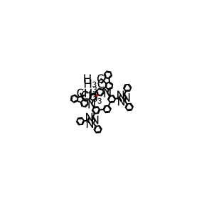 CC1(C)c2ccccc2-c2ccc3c(c21)c1ccccc1n3-c1cc(-c2cccc(-c3cc(-c4nc(-c5ccccc5)nc(-c5ccccc5)n4)cc(-n4c5ccccc5c5c6c(ccc54)-c4ccccc4C6(C)C)c3)c2)cc(-c2nc(-c3ccccc3)nc(-c3ccccc3)n2)c1